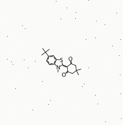 CN1C(=C2C(=O)CC(C)(C)CC2=O)Sc2cc(C(C)(C)C)ccc21